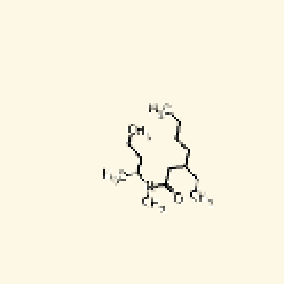 CCCCC(CC)CC(=O)N(C)[C@@H](C)CCC